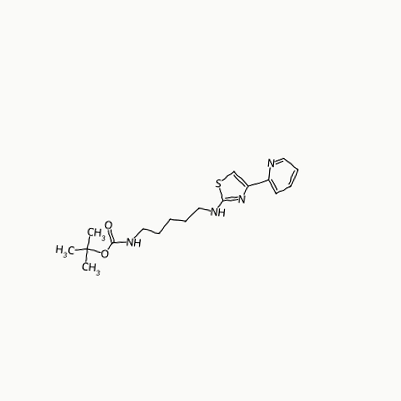 CC(C)(C)OC(=O)NCCCCCNc1nc(-c2ccccn2)cs1